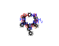 N[C@@H]1CC(=O)Nc2ccc(cc2)C[C@@H](C(=O)O)NC(=O)[C@@H](Cc2ccccc2)NC(=O)[C@H](Cc2ccc(-c3ccccc3)cc2)NC(=O)[C@@H](Cc2cccs2)NC1=O